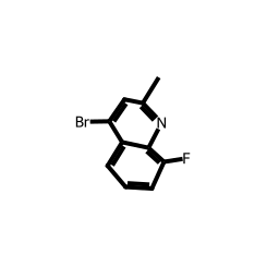 Cc1cc(Br)c2cccc(F)c2n1